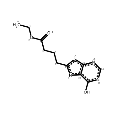 CCOC(=O)CCCc1nc2c(O)ncnc2s1